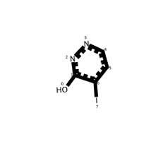 Oc1nnccc1I